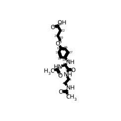 CC(=O)NCCNC(=O)C(NC(C)=O)Nc1ccc(OCCCC(=O)O)cc1